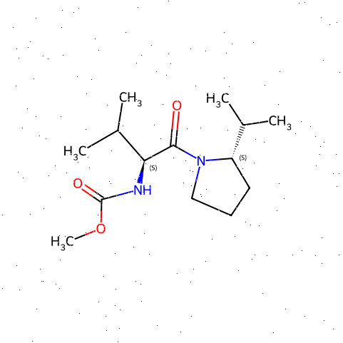 COC(=O)N[C@H](C(=O)N1CCC[C@H]1C(C)C)C(C)C